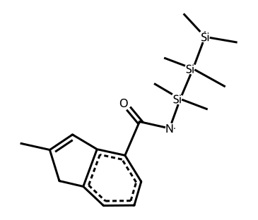 CC1=Cc2c(cccc2C(=O)[N][Si](C)(C)[Si](C)(C)[Si](C)C)C1